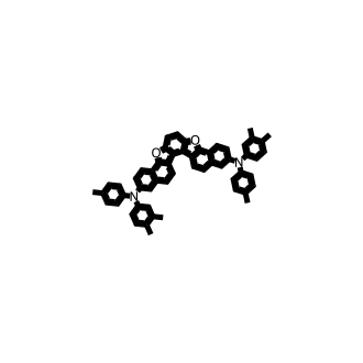 Cc1ccc(N(c2ccc(C)c(C)c2)c2ccc3c(ccc4c3oc3ccc5oc6c7ccc(N(c8ccc(C)cc8)c8ccc(C)c(C)c8)cc7ccc6c5c34)c2)cc1